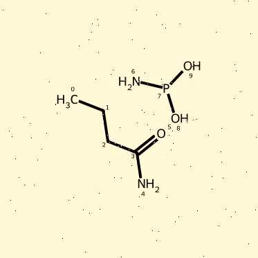 CCCC(N)=O.NP(O)O